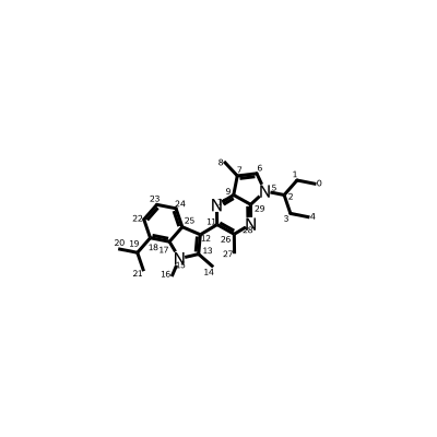 CCC(CC)n1cc(C)c2nc(-c3c(C)n(C)c4c(C(C)C)cccc34)c(C)nc21